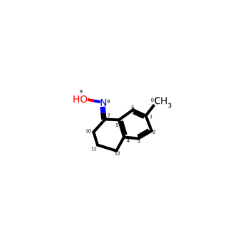 Cc1ccc2c(c1)/C(=N/O)CCC2